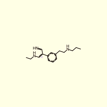 CCCNCCc1cccc(/C(C=N)=C/NCC)c1